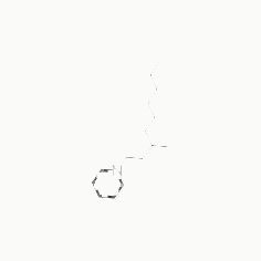 CCCCCCC(C)CC[n+]1ccccc1